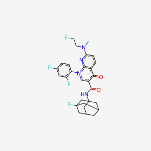 CN(CCF)c1ccc2c(=O)c(C(=O)NC34CC5CC(CC(F)(C5)C3)C4)cn(-c3ccc(F)cc3F)c2n1